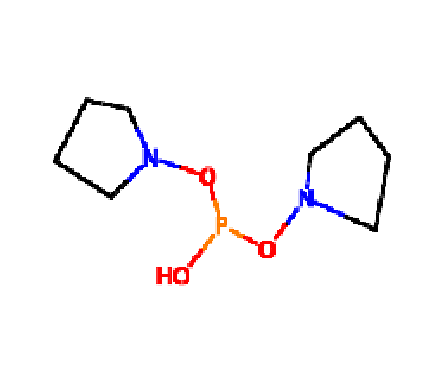 OP(ON1CCCC1)ON1CCCC1